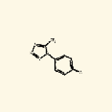 FC(F)(F)c1nnnn1-c1ccc(Cl)cc1